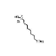 CCCCCCCCCCCCCCCC[N+](C)(O)CC